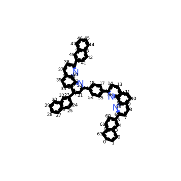 c1ccc2cc(-c3ccc4ccc5ccc(-c6ccc(-c7cc(-c8ccc9ccccc9c8)c8ccc9ccc(-c%10ccc%11ccccc%11c%10)nc9c8n7)cc6)nc5c4n3)ccc2c1